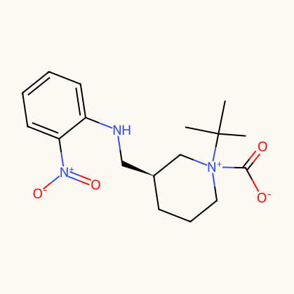 CC(C)(C)[N+]1(C(=O)[O-])CCC[C@@H](CNc2ccccc2[N+](=O)[O-])C1